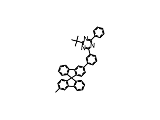 Cc1ccc2c(c1)-c1ccccc1C21c2ccccc2-c2cc(-c3cccc(-c4nc(-c5ccccc5)nc(C(C)(C)C)n4)c3)ccc21